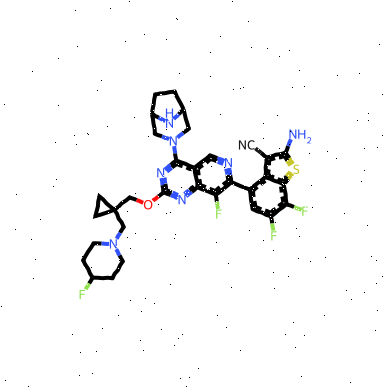 N#Cc1c(N)sc2c(F)c(F)cc(-c3ncc4c(N5CC6CCC(C5)N6)nc(OCC5(CN6CCC(F)CC6)CC5)nc4c3F)c12